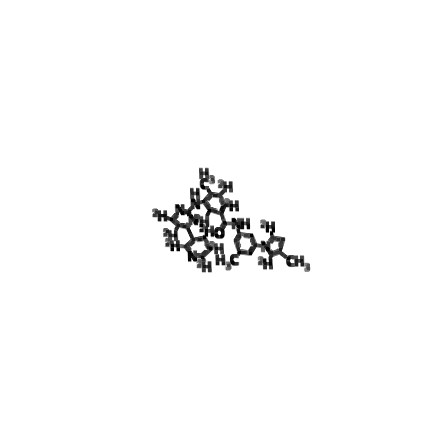 [2H]c1nc(Nc2c([2H])c(C(=O)Nc3cc(C)cc(-n4c([2H])cc(C)c4[2H])c3)c([2H])c([2H])c2C)nc(-c2c([2H])nc([2H])c([2H])c2[2H])c1[2H]